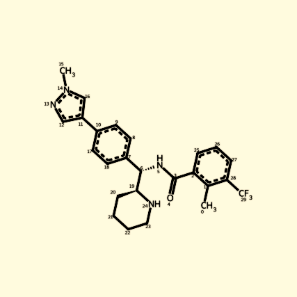 Cc1c(C(=O)N[C@@H](c2ccc(-c3cnn(C)c3)cc2)[C@@H]2CCCCN2)cccc1C(F)(F)F